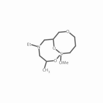 CCN1CC(C)O[Si]2(OC)CCCOCC(C1)O2